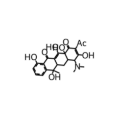 CC(=O)C1=C(O)C(N(C)C)C2CC3C(=C(O)C2(O)C1=O)C(=O)c1c(O)cccc1C3(C)O